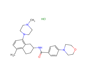 Cc1ccc(N2CCN(C)CC2)c2c1CCC(NC(=O)c1ccc(N3CCOCC3)cc1)C2.Cl